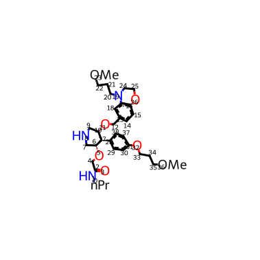 CCCNC(=O)CO[C@@H]1CNC[C@H](OCc2ccc3c(c2)N(CCCOC)CCO3)[C@H]1c1ccc(OCCCOC)cc1